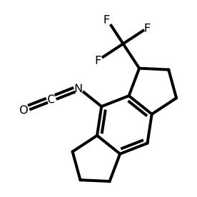 O=C=Nc1c2c(cc3c1C(C(F)(F)F)CC3)CCC2